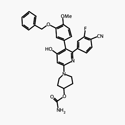 COc1ccc(-c2c(O)cc(N3CCC(OC(N)=O)CC3)nc2-c2ccc(C#N)c(F)c2)cc1OCc1ccccc1